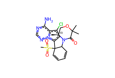 C[C@H]1COC(C)(C)C(=O)N1C1C=CC=CC1(c1cc(Cl)c2c(N)ncnn12)S(C)(=O)=O